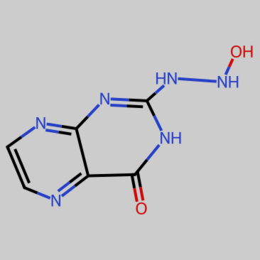 O=c1[nH]c(NNO)nc2nccnc12